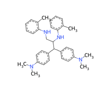 Cc1ccccc1NCC(Nc1ccccc1C)C(c1ccc(N(C)C)cc1)c1ccc(N(C)C)cc1